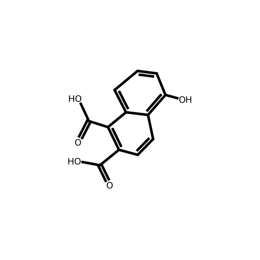 O=C(O)c1ccc2c(O)cccc2c1C(=O)O